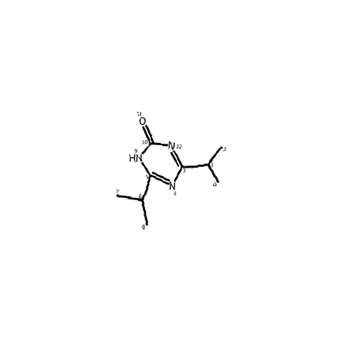 CC(C)c1nc(C(C)C)[nH]c(=O)n1